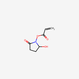 C=CC(=O)ON1C(=O)CCC1O